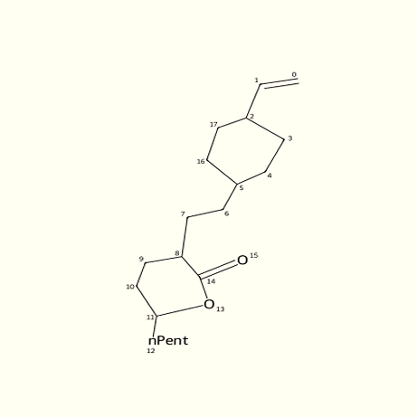 C=CC1CCC(CCC2CCC(CCCCC)OC2=O)CC1